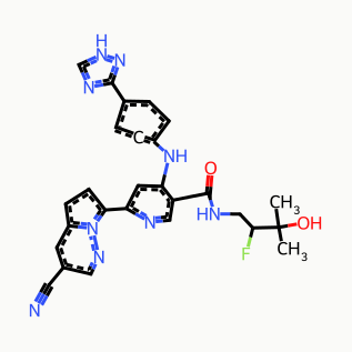 CC(C)(O)C(F)CNC(=O)c1cnc(-c2ccc3cc(C#N)cnn23)cc1Nc1ccc(-c2nc[nH]n2)cc1